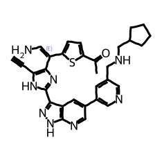 C#Cc1[nH]c(-c2n[nH]c3ncc(-c4cncc(CNCC5CCCC5)c4)cc23)nc1/C(=C\N)c1ccc(C(C)=O)s1